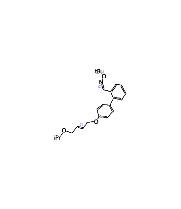 CC(C)OC/C=C/COc1ccc(-c2ccccc2/C=N\OC(C)(C)C)cc1